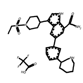 CCS(=O)(=O)N1CCC(c2c[nH]c3c(C(N)=O)cc(-c4cccc(C5CCCCN5)c4)cc23)CC1.O=C(O)C(F)(F)F